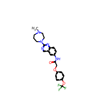 CN1CCCN(c2ncc3cc(NC(=O)COc4ccc(OC(F)(F)F)cc4)ccc3n2)CC1